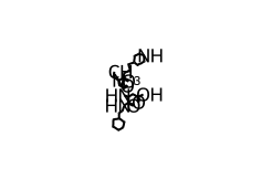 CCN(CC(=O)NC(CC(=O)O)C(=O)NCCC1CCCCC1)C(=O)CCCC1CCNCC1